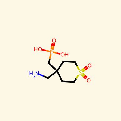 NCC1(CP(=O)(O)O)CCS(=O)(=O)CC1